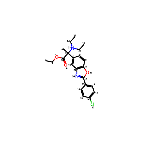 CCOC(=O)C(C)(c1ccc2oc(-c3ccc(Cl)cc3)nc2c1)N(CC)CC